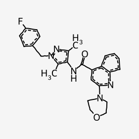 Cc1nn(Cc2ccc(F)cc2)c(C)c1NC(=O)c1cc(N2CCOCC2)nc2ccccc12